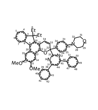 CCC1(CC)c2ccccc2-c2c1c1c(c3cc(OC)c(OC)cc23)OC(c2ccc(N3CCOCC3)cc2)(c2nc(-c3ccccc3)cc(-c3ccccc3)n2)C=C1